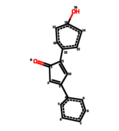 O=C1C=C(c2ccccc2)C=C1c1ccc(O)cc1